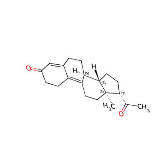 CC(=O)[C@H]1CC[C@H]2[C@@H]3CCC4=CC(=O)CCC4=C3CC[C@]12C